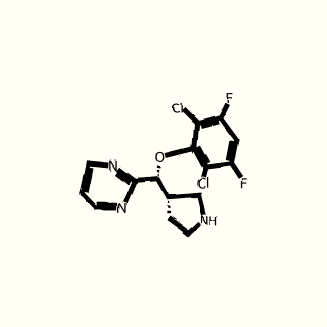 Fc1cc(F)c(Cl)c(O[C@@H](c2ncccn2)[C@H]2CCNC2)c1Cl